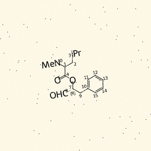 CNC(CC(C)C)C(=O)O[C@@H](C=O)Cc1ccccc1